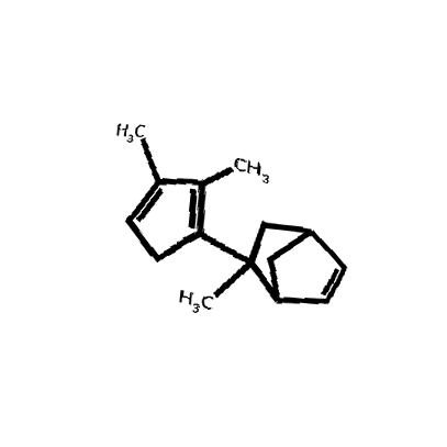 CC1=CCC(C2(C)CC3C=CC2C3)=C1C